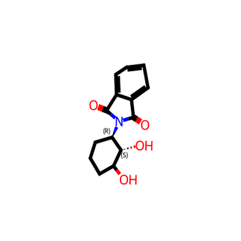 O=C1c2ccccc2C(=O)N1[C@@H]1CCCC(O)[C@H]1O